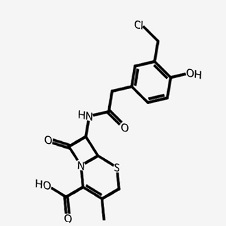 CC1=C(C(=O)O)N2C(=O)C(NC(=O)Cc3ccc(O)c(CCl)c3)C2SC1